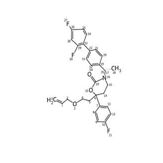 C=CCOCCC1(c2ccc(F)cc2)CCN([C@@H](C)c2ccc(-c3ccc(F)cc3F)cc2)C(=O)O1